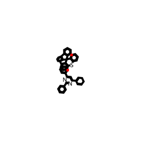 C1=CC(c2cc(-c3ccc(-c4cccc5c4C4(c6ccccc6Sc6ccccc64)c4ccccc4-5)cc3)nc(-c3ccccc3)n2)=CCC1